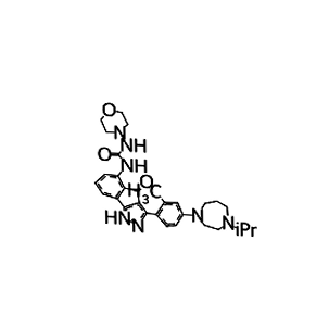 Cc1cc(N2CCCN(C(C)C)CC2)ccc1-c1n[nH]c2c1C(=O)c1c(NC(=O)NN3CCOCC3)cccc1-2